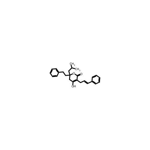 CC(C)CC1(CCc2ccccc2)CC(O)=C(CC=Cc2ccccc2)C(=O)O1